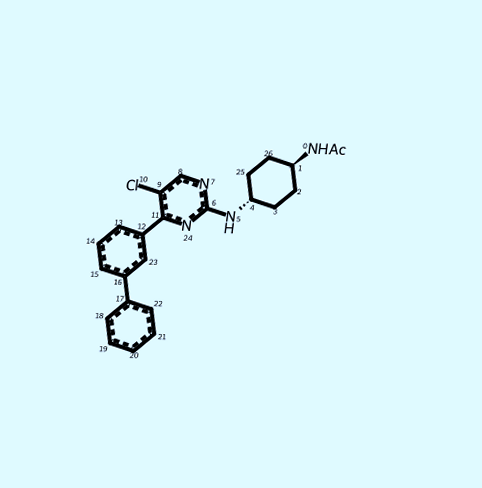 CC(=O)N[C@H]1CC[C@H](Nc2ncc(Cl)c(-c3cccc(-c4ccccc4)c3)n2)CC1